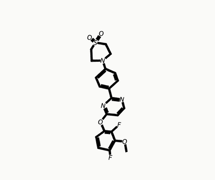 COc1c(F)ccc(Oc2ccnc(-c3ccc(N4CCS(=O)(=O)CC4)cc3)n2)c1F